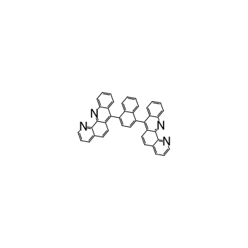 c1cnc2c(c1)ccc1c(-c3ccc(-c4c5ccccc5nc5c4ccc4cccnc45)c4ccccc34)c3ccccc3nc12